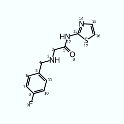 O=C(CNCc1ccc(F)cc1)Nc1nccs1